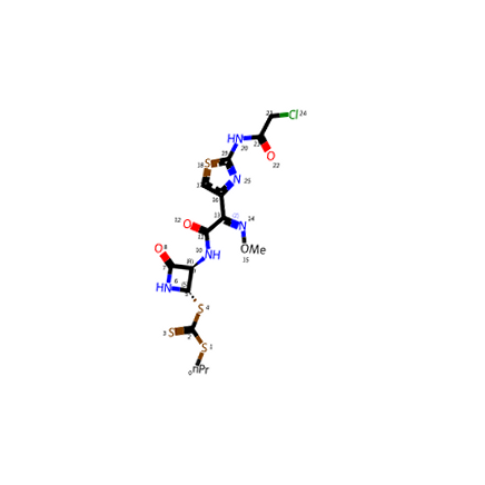 CCCSC(=S)S[C@@H]1NC(=O)[C@H]1NC(=O)/C(=N\OC)c1csc(NC(=O)CCl)n1